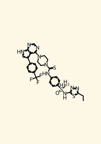 CCc1nnc(N[SH](=O)(P)c2ccc(NC(=S)N3CCN(c4ncnc5[nH]cc(-c6ccc(C(F)(F)F)cc6)c45)CC3)cc2)s1